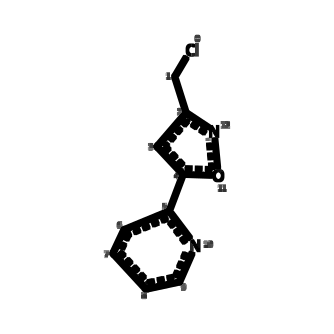 ClCc1cc(-c2ccccn2)on1